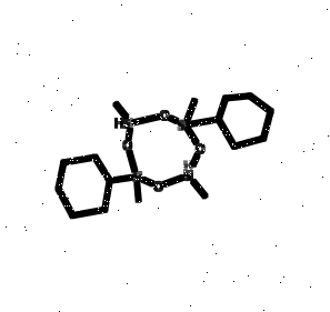 C[SiH]1O[Si](C)(C2CCCCC2)O[SiH](C)O[Si](C)(C2CCCCC2)O1